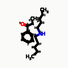 CCC(=O)c1ccccc1.CCCCCNCCCCC